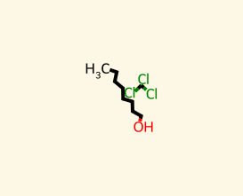 CCCCCCCCO.ClC(Cl)Cl